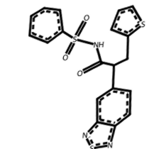 O=C(NS(=O)(=O)c1ccccc1)C(Cc1cccs1)c1ccc2nsnc2c1